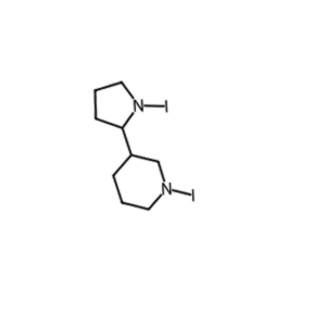 IN1CCCC(C2CCCN2I)C1